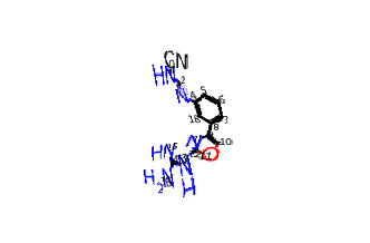 N#CN/C=N/c1cccc(-c2coc(NC(=N)N)n2)c1